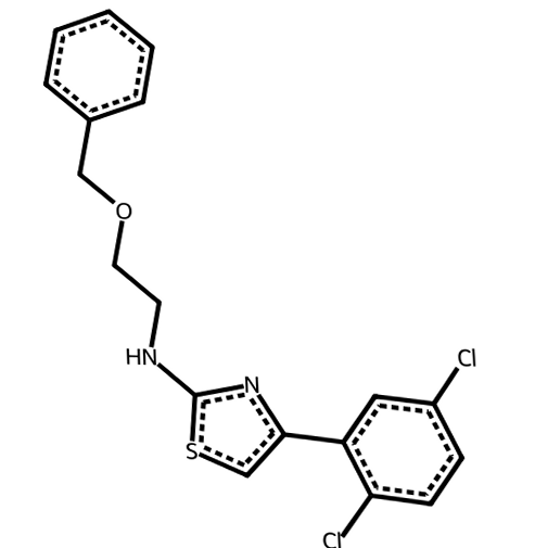 Clc1ccc(Cl)c(-c2csc(NCCOCc3ccccc3)n2)c1